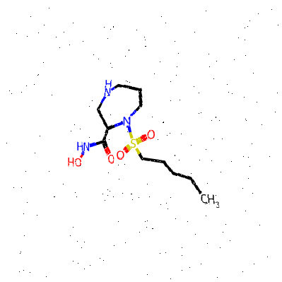 CCCCCS(=O)(=O)N1CCCNCC1C(=O)NO